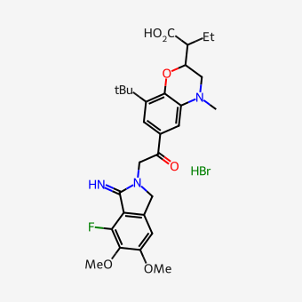 Br.CCC(C(=O)O)C1CN(C)c2cc(C(=O)CN3Cc4cc(OC)c(OC)c(F)c4C3=N)cc(C(C)(C)C)c2O1